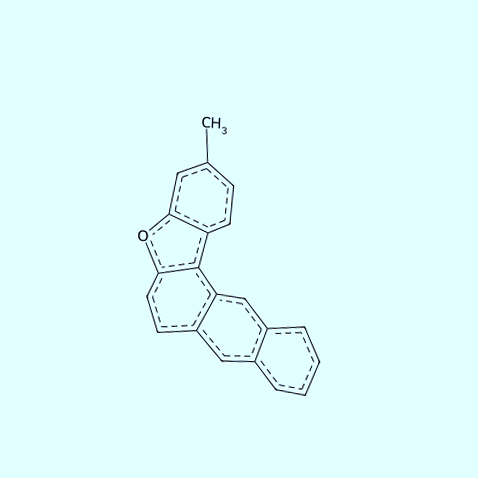 Cc1ccc2c(c1)oc1ccc3cc4ccccc4cc3c12